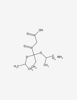 CCC(OC(C)C)(OC(C)C)C(=O)CC(=O)O.[AlH3]